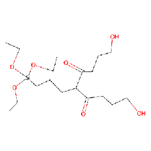 CCO[Si](CCCC(C(=O)CCCO)C(=O)CCCO)(OCC)OCC